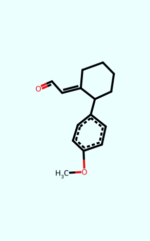 COc1ccc(C2CCCC/C2=C\C=O)cc1